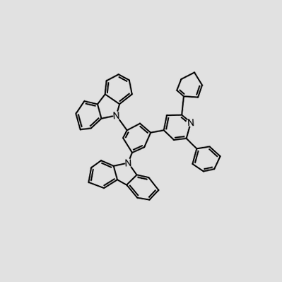 C1=CC(c2cc(-c3cc(-n4c5ccccc5c5ccccc54)cc(-n4c5ccccc5c5ccccc54)c3)cc(-c3ccccc3)n2)=CCC1